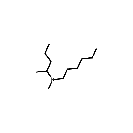 CCCCCCN(C)C(C)CCC